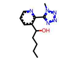 CCCCC(O)c1cccnc1-c1nnnn1C